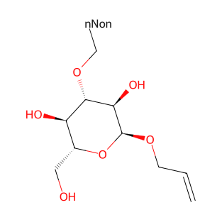 C=CCO[C@H]1O[C@H](CO)[C@@H](O)[C@H](OCCCCCCCCCC)[C@H]1O